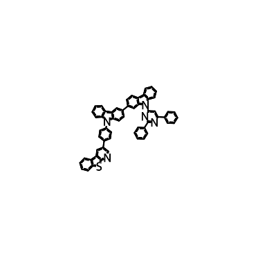 c1ccc(-c2cc(-n3c4ccccc4c4ccc(-c5ccc6c(c5)c5ccccc5n6-c5ccc(-c6cnc7sc8ccccc8c7c6)cc5)cc43)nc(-c3ccccc3)n2)cc1